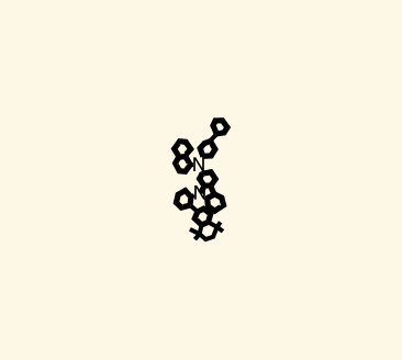 CC1(C)CCC(C)(C)c2cc(-c3ccccc3-n3c4ccccc4c4ccc(N(c5ccc(-c6ccccc6)cc5)c5cccc6ccccc56)cc43)ccc21